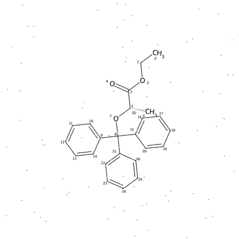 CCOC(=O)[C@H](C)OC(c1ccccc1)(c1ccccc1)c1ccccc1